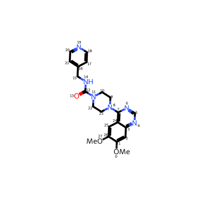 COc1cc2ncnc(N3CCN(C(=O)NCc4ccncc4)CC3)c2cc1OC